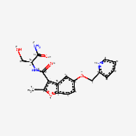 Cc1oc2ccc(OCc3ccccn3)cc2c1C(=O)N[C@@H](CO)C(N)=O